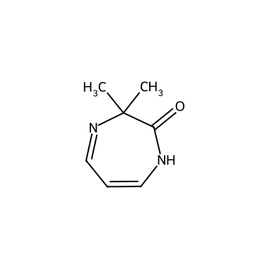 CC1(C)N=CC=CNC1=O